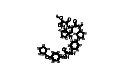 COC(=O)C(=O)N1C(C(=O)N(C)C2CCN(c3ccc(NC(=O)Nc4ccc(OC5CCCC5)cc4)cc3)C2)C[C@@H]2CCC[C@@H]21